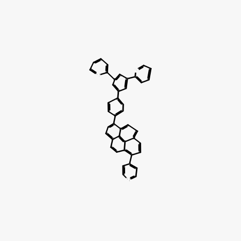 c1ccc(-c2cc(-c3ccc(-c4ccc5ccc6c(-c7ccncc7)ccc7ccc4c5c76)cc3)cc(-c3ccccn3)c2)nc1